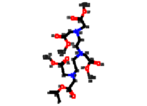 C=C(C)OC(=O)CN(CCN(CCN(CC(=O)OC(C)(C)C)CC(=O)OC(C)(C)C)CC(=O)OC(C)(C)C)CC(=O)OC(C)(C)C